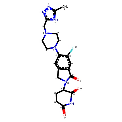 Cc1nnc(CN2CCN(c3cc4c(cc3F)C(=O)N(C3CCC(=O)NC3=O)C4)CC2)[nH]1